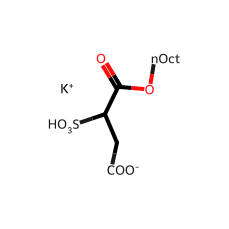 CCCCCCCCOC(=O)C(CC(=O)[O-])S(=O)(=O)O.[K+]